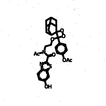 CC(=O)Oc1ccc(C2(OCCN(C(C)=O)C(=O)c3nc4ccc(O)cc4s3)OOC23C2CC4CC(C2)CC3C4)cc1